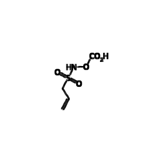 C=CCS(=O)(=O)NOC(=O)O